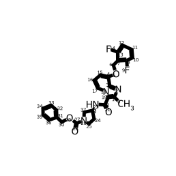 Cc1nc2c(OCc3c(F)cccc3F)cccn2c1C(=O)N[C@H]1CCN(C(=O)OCc2ccccc2)C1